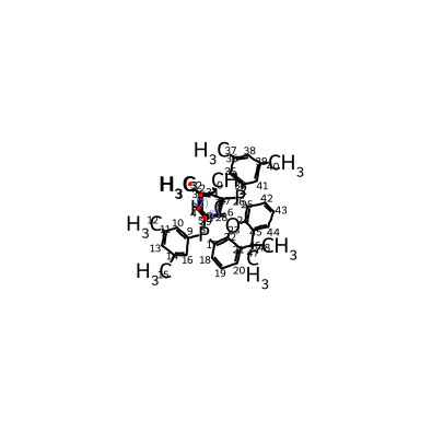 C=C/C(C)=C\C(=C/C)P(c1cc(C)cc(C)c1)c1cccc2c1Oc1c(P(c3cccc(C)c3)c3cc(C)cc(C)c3)cccc1C2(C)C